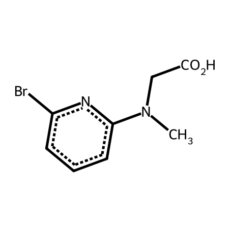 CN(CC(=O)O)c1cccc(Br)n1